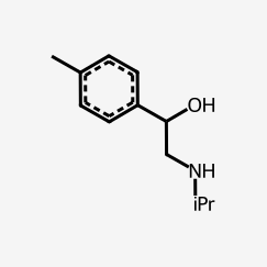 Cc1ccc(C(O)CNC(C)C)cc1